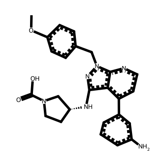 COc1ccc(Cn2nc(N[C@@H]3CCN(C(=O)O)C3)c3c(-c4cccc(N)c4)ccnc32)cc1